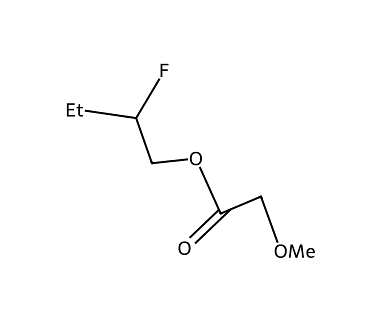 CCC(F)COC(=O)COC